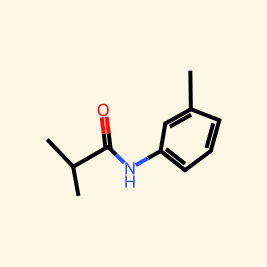 Cc1cccc(NC(=O)C(C)C)c1